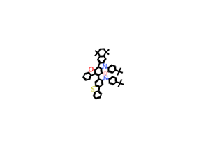 CC(C)(C)c1ccc(N2B3c4cc(C(C)(C)C)ccc4-n4c5cc6c(cc5c5c7oc8ccccc8c7c(c3c54)-c3cc4sc5ccccc5c4cc32)C(C)(C)CCC6(C)C)cc1